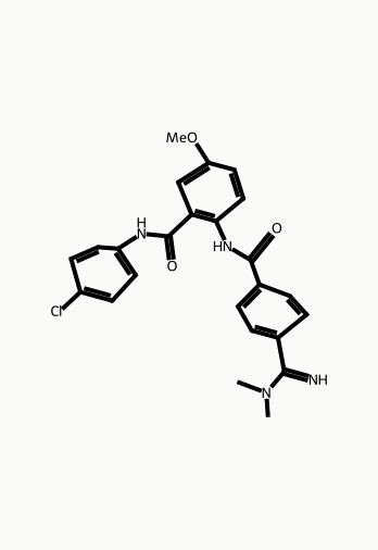 COc1ccc(NC(=O)c2ccc(C(=N)N(C)C)cc2)c(C(=O)Nc2ccc(Cl)cc2)c1